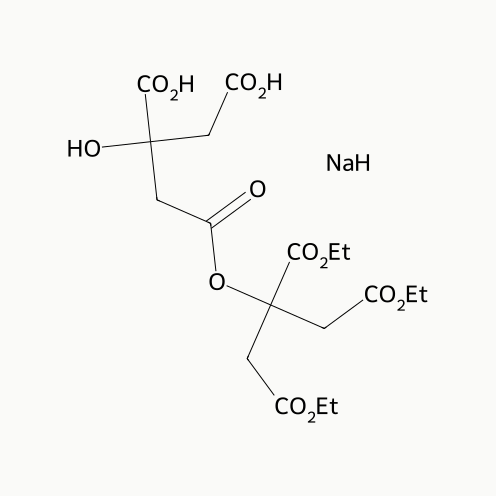 CCOC(=O)CC(CC(=O)OCC)(OC(=O)CC(O)(CC(=O)O)C(=O)O)C(=O)OCC.[NaH]